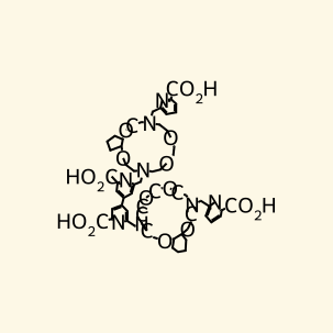 O=C(O)c1cccc(CN2CCOCCOCCN(Cc3cc(-c4cc(CN5CCOCCOCCN(Cc6cccc(C(=O)O)n6)CCOC6CCCC6OCC5)nc(C(=O)O)c4)cc(C(=O)O)n3)CCOC3CCCCC3OCC2)n1